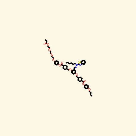 C=CC(=O)OCCOCCOCCOc1ccc(OC(=O)C2CCC(COc3ccc(OCC4CCC(C(=O)Oc5ccc(OCCCC)cc5)CC4)cc3/C=N/N(CCCCCC)c3nc4ccccc4s3)CC2)cc1